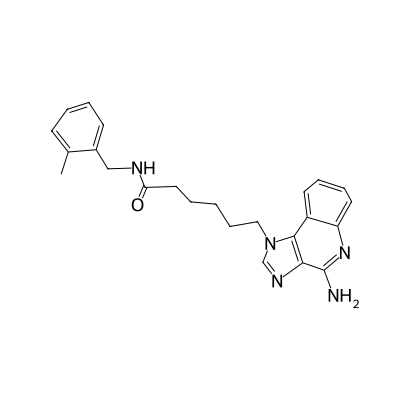 Cc1ccccc1CNC(=O)CCCCCn1cnc2c(N)nc3ccccc3c21